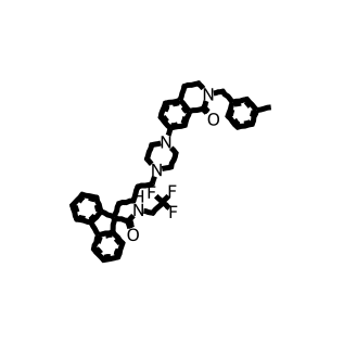 Cc1cccc(CN2CCc3ccc(N4CCN(CCCCC5(C(=O)NCC(F)(F)F)c6ccccc6-c6ccccc65)CC4)cc3C2=O)c1